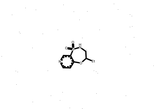 CCC1CNS(=O)(=O)c2cnccc2O1